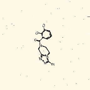 CCc1nnc2n1CCN(C(=O)c1cccc(Cl)c1Cl)C2